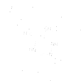 CC1=C(C)NN=CN1